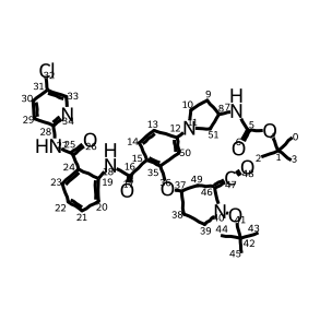 CC(C)(C)OC(=O)NC1CCN(c2ccc(C(=O)Nc3ccccc3C(=O)Nc3ccc(Cl)cn3)c(OC3CCN(OC(C)(C)C)C(=C=O)C3)c2)C1